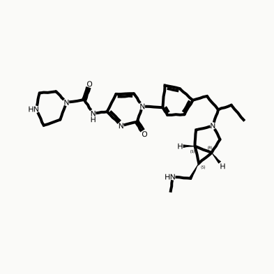 CCC(Cc1ccc(-n2ccc(NC(=O)N3CCNCC3)nc2=O)cc1)N1C[C@@H]2[C@@H](CNC)[C@@H]2C1